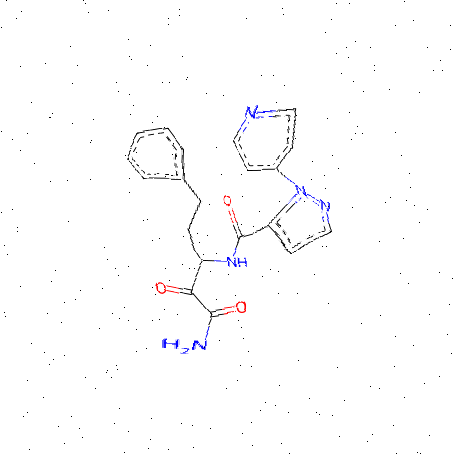 NC(=O)C(=O)C(CCc1ccccc1)NC(=O)c1ccnn1-c1ccncc1